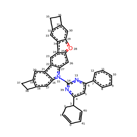 C1=CCC(c2cc(-c3ccccc3)nc(-n3c4cc5c(cc4c4cc6c(cc43)oc3cc4c(cc36)CC4)CC5)n2)C=C1